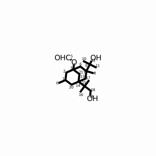 CC1CC2(OC=O)CC(C)(C(C)(C)O)CC(C(C)(C)CO)(C1)C2